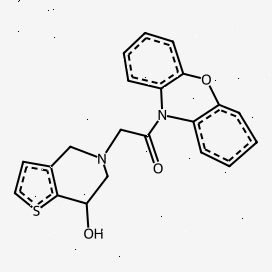 O=C(CN1Cc2ccsc2C(O)C1)N1c2ccccc2Oc2ccccc21